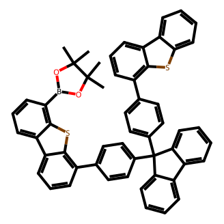 CC1(C)OB(c2cccc3c2sc2c(-c4ccc(C5(c6ccc(-c7cccc8c7sc7ccccc78)cc6)c6ccccc6-c6ccccc65)cc4)cccc23)OC1(C)C